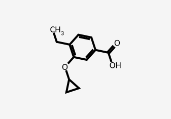 CCc1ccc(C(=O)O)cc1OC1CC1